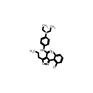 CCCc1onc(-c2c(Cl)cccc2Cl)c1C(=O)Nc1ccc(N(CC)CC)cc1